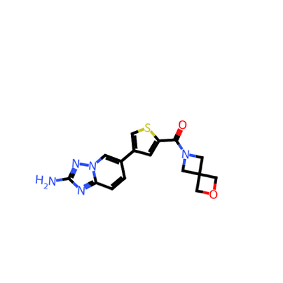 Nc1nc2ccc(-c3csc(C(=O)N4CC5(COC5)C4)c3)cn2n1